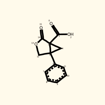 O=C(O)C12CC1(c1ccccc1)COC2=O